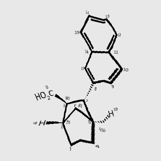 O=C(O)[C@@H]1[C@H]2CC[C@@H](C2)[C@H]1c1ccc2ccccc2c1